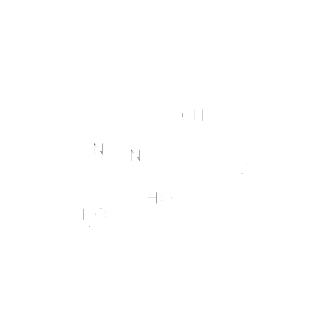 C1CN2CCN12.CC(=O)O.O